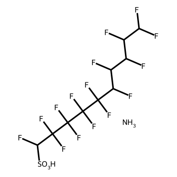 N.O=S(=O)(O)C(F)C(F)(F)C(F)(F)C(F)(F)C(F)(F)C(F)C(F)C(F)C(F)C(F)F